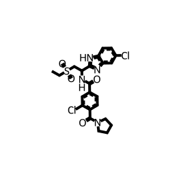 CCS(=O)(=O)CC(NC(=O)c1ccc(C(=O)N2CCCC2)c(Cl)c1)c1nc2cc(Cl)ccc2[nH]1